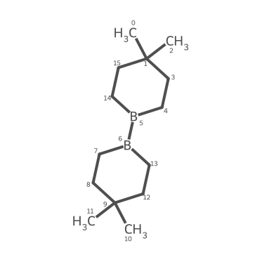 CC1(C)CCB(B2CCC(C)(C)CC2)CC1